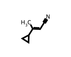 C/C(=C\C#N)C1CC1